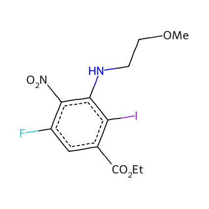 CCOC(=O)c1cc(F)c([N+](=O)[O-])c(NCCOC)c1I